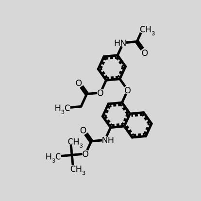 CCC(=O)Oc1ccc(NC(C)=O)cc1Oc1ccc(NC(=O)OC(C)(C)C)c2ccccc12